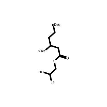 CCCCCCCCCCCCC(CCCCCCCCCC)CC(=O)OCC(O)CC